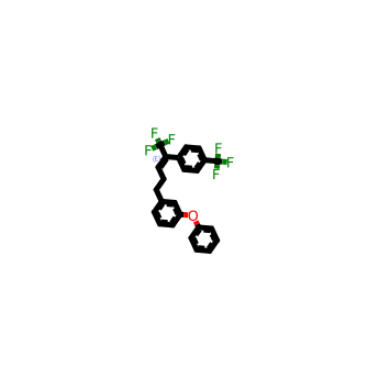 FC(F)(F)/C(=C/CCc1cccc(Oc2ccccc2)c1)c1ccc(C(F)(F)F)cc1